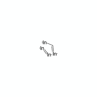 [In]=[In].[In][CH]=[In]